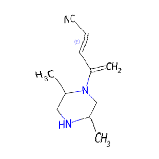 C=C(/C=C/C#N)N1CC(C)NCC1C